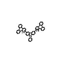 c1ccc(-n2c3ccc(-c4ccc5c6ccccc6c6ccccc6c5n4)cc3c3cc(-c4ccc5c6ccccc6c6ccccc6c5n4)ccc32)cc1